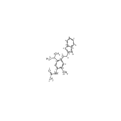 CC(=O)Nc1cc(C(C)C)c(OCc2nc3ccccc3s2)cc1C